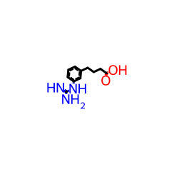 N=C(N)Nc1cccc(CCCC(=O)O)c1